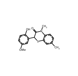 COc1ccc(O)c(C2Sc3cc(C)ccc3N(C)C2=O)c1